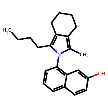 CCCCc1c2c(c(C)n1-c1cccc3ccc(O)cc13)CCCC2